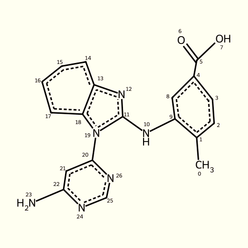 Cc1ccc(C(=O)O)cc1Nc1nc2ccccc2n1-c1cc(N)ncn1